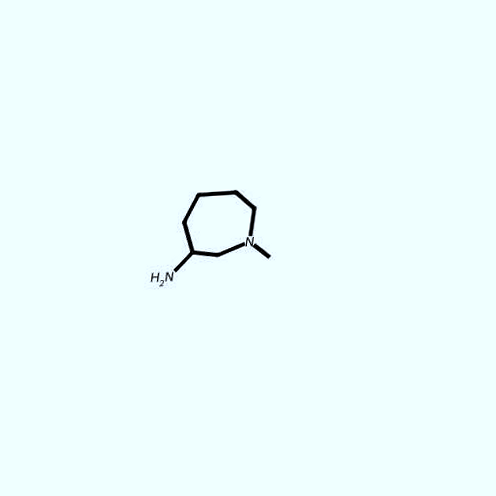 CN1CCCCC(N)C1